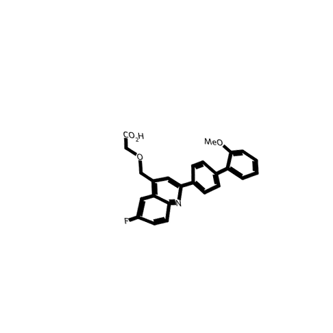 COc1ccccc1-c1ccc(-c2cc(COCC(=O)O)c3cc(F)ccc3n2)cc1